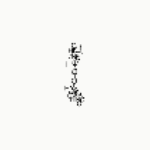 COC(=O)N[C@H](C(=O)N1CCCC1c1ncc(-c2ccc(-c3ccc(-c4cnc(C5(C)CCCN5C(=O)[C@@H](NC(=O)OC)C(C)C)[nH]4)cc3)cc2)[nH]1)C(C)C